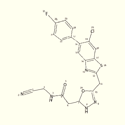 N#CCNC(=O)CC1NN=C(Cc2nc3cc(-c4ccc(F)cc4)c(Cl)cc3s2)O1